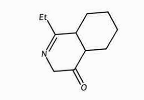 CCC1=NCC(=O)C2CCCCC12